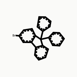 Brc1ccc2c(c1)-c1ccccc1C2(c1ccccc1)c1ccccc1